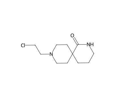 O=C1NCCCC12CCN(CCCl)CC2